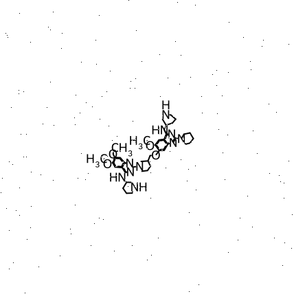 COc1cc2nc(N3CCCC(COc4cc5nc(N6CCCCC6)nc(N[C@@H]6CCCNC6)c5cc4OC)C3)nc(N[C@H]3CCCNC3)c2cc1OC